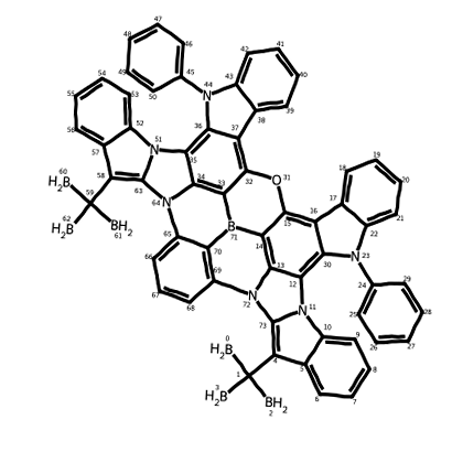 BC(B)(B)c1c2ccccc2n2c3c4c5c(c6c7ccccc7n(-c7ccccc7)c63)Oc3c6c7c(c8c3c3ccccc3n8-c3ccccc3)n3c8ccccc8c(C(B)(B)B)c3n7-c3cccc(c3B56)-n4c12